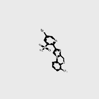 CCS(=O)(=O)c1cc(Br)cnc1-c1cn2c(n1)COc1c-2cccc1C(F)(F)F